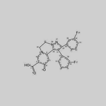 O=C(O)c1cn2c(cc1=O)-c1c(-c3cccc(F)c3)c(-c3cccc(F)c3)nn1CC2